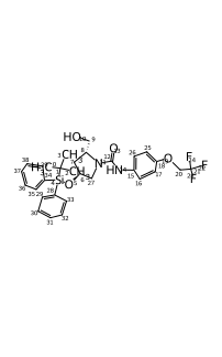 CC(C)(C)[Si](O[C@H]1C[C@H](CO)N(C(=O)Nc2ccc(OCC(F)(F)F)cc2)C1)(c1ccccc1)c1ccccc1